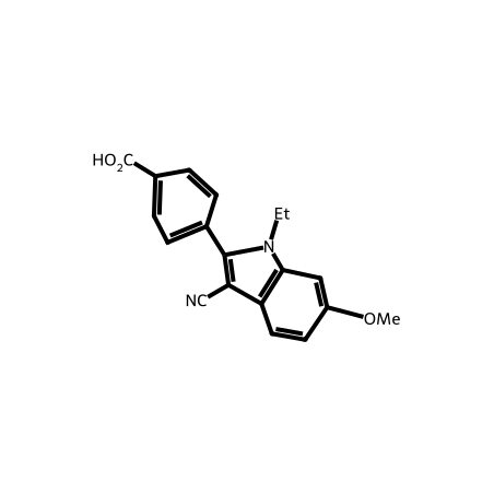 CCn1c(-c2ccc(C(=O)O)cc2)c(C#N)c2ccc(OC)cc21